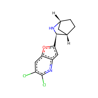 Clc1cc2oc([C@H]3N[C@@H]4CC[C@H]3C4)cc2nc1Cl